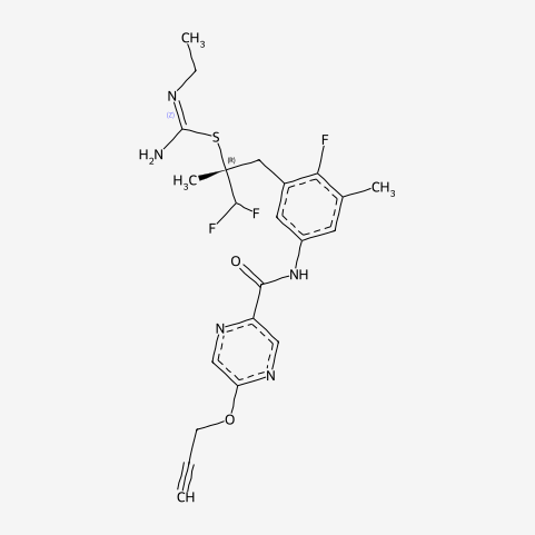 C#CCOc1cnc(C(=O)Nc2cc(C)c(F)c(C[C@@](C)(S/C(N)=N\CC)C(F)F)c2)cn1